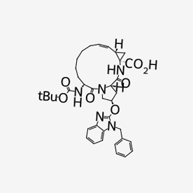 CC(C)(C)OC(=O)N[C@H]1CCCCC/C=C\[C@@H]2C[C@@]2(C(=O)O)NC(=O)[C@@H]2C[C@@H](Oc3nc4ccccc4n3Cc3ccccc3)CN2C1=O